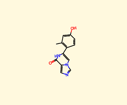 Cc1cc(O)ccc1-c1cn2cncc2c(=O)[nH]1